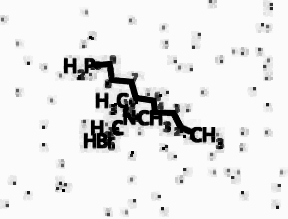 Br.CCCCCCCCCP.CN(C)C